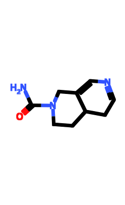 NC(=O)N1CCC2CC=NC=C2C1